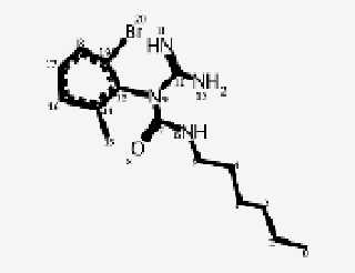 CCCCCCNC(=O)N(C(=N)N)c1c(C)cccc1Br